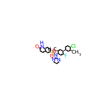 Cc1cc(-c2cc(C)c(N(c3ncccn3)S(=O)(=O)c3ccc4[nH]c(=O)ccc4c3)cc2F)ccc1Cl